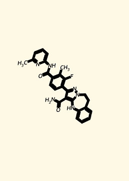 Cc1cccc(NC(=O)c2ccc(-c3nn4c(c3C(N)=O)Nc3ccccc3CC4)c(F)c2C)n1